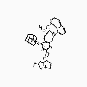 Cc1cccc2cccc(N3CCc4c(nc(OCC56CCCN5C[C@H](F)C6)nc4N4CC5CCC(C4)N5)C3)c12